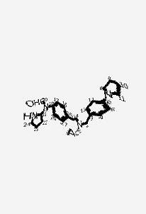 CC(=O)N(Cc1ccc(N2CCCC2)cc1)Cc1ccc(N(C=O)C2CCCN2)cc1